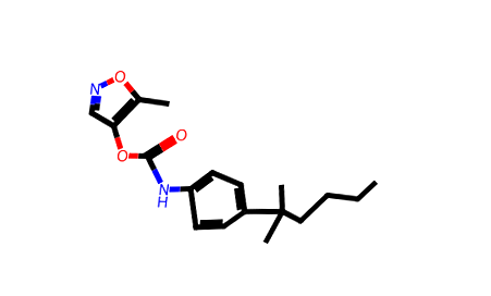 CCCCC(C)(C)c1ccc(NC(=O)Oc2cnoc2C)cc1